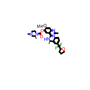 COc1cc2nc(C)nc(N[C@H](C)c3cccc(C(F)(F)C4CCCO4)c3)c2cc1OC(=O)N1CCN(C)C[C@@H]1C